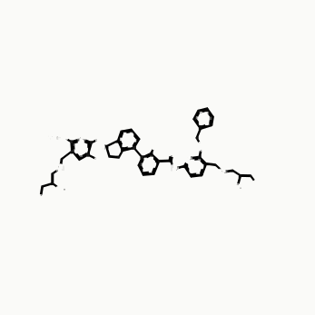 COc1nc(O[C@H]2CCc3c(-c4cccc(C(=O)Nc5ccc(CNCC(O)CC(=O)O)c(OCc6ccccc6)n5)c4Cl)cccc32)c(Cl)cc1CNCC(O)CC(=O)O